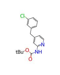 CC(C)(C)OC(=O)Nc1cc(Cc2cccc(Cl)c2)ccn1